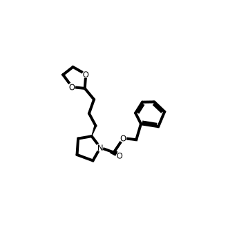 O=C(OCc1ccccc1)N1CCC[C@H]1CCCC1OCCO1